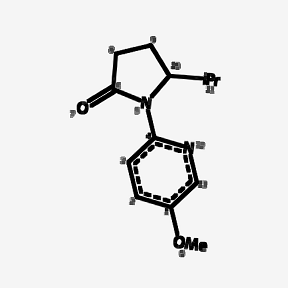 COc1ccc(N2C(=O)CCC2C(C)C)nc1